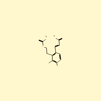 CCCCOC(=O)C=Cc1ccc(OC)c(C)c1CCNC(=O)OC(C)(C)C